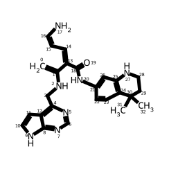 C=C(NCc1ncnc2[nH]ccc12)/C(=C\C=C/N)C(=O)Nc1ccc2c(c1)NCCC2(C)C